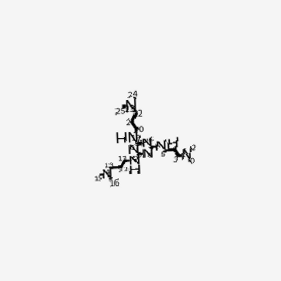 CN(C)CCCNc1nc(NCCCN(C)C)nc(NCCCN(C)C)n1